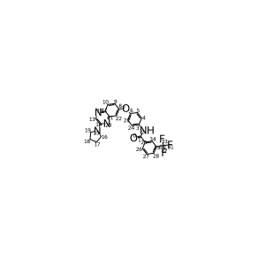 O=C(Nc1ccc(Oc2ccc3ncc(N4CCCC4)nc3c2)cc1)c1cccc(C(F)(F)F)c1